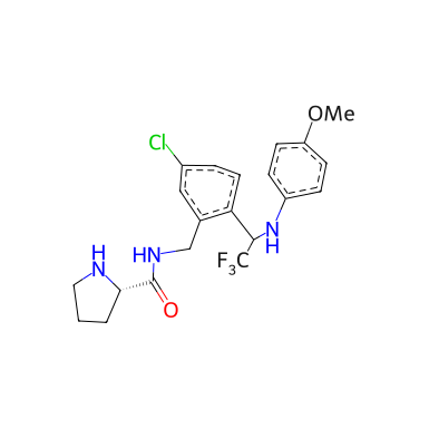 COc1ccc(NC(c2ccc(Cl)cc2CNC(=O)[C@@H]2CCCN2)C(F)(F)F)cc1